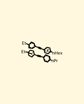 CCCCCCC12CCC(C#Cc3ccc(CC)cc3)(CC1)CC2.CCCc1ccc(C#CC23CCC(CC)(CC2)CC3)cc1